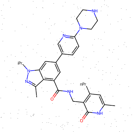 CCCc1cc(C)[nH]c(=O)c1CNC(=O)c1cc(-c2ccc(N3CCNCC3)nc2)cc2c1c(C)nn2C(C)C